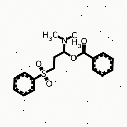 CN(C)C(CCS(=O)(=O)c1ccccc1)OC(=O)c1ccccc1